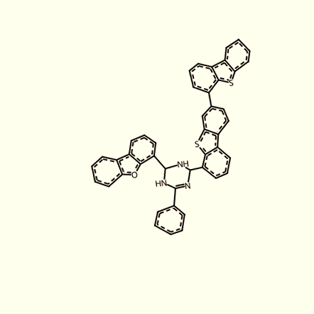 c1ccc(C2=NC(c3cccc4c3sc3cc(-c5cccc6c5sc5ccccc56)ccc34)NC(c3cccc4c3oc3ccccc34)N2)cc1